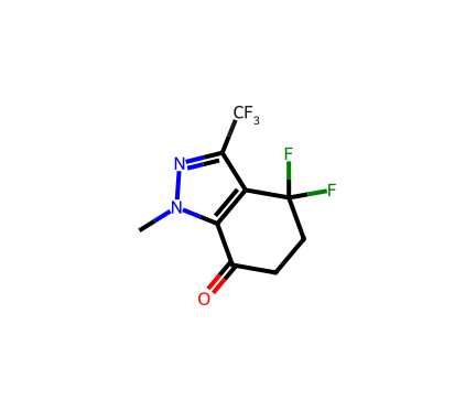 Cn1nc(C(F)(F)F)c2c1C(=O)CCC2(F)F